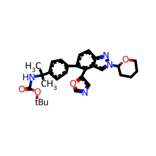 CC(C)(C)OC(=O)NC(C)(C)c1ccc(-c2ccc3nn(C4CCCCO4)cc3c2-c2cnco2)cc1